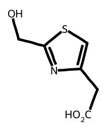 O=C(O)Cc1csc(CO)n1